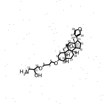 C[C@]12CC[C@H](OCCCOCC(O)CN)C[C@H]1CC[C@@H]1[C@@H]2CC[C@]2(C)[C@@H](c3ccoc3)CC[C@]12O